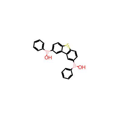 OB(c1ccccc1)c1ccc2sc3ccc(B(O)c4ccccc4)cc3c2c1